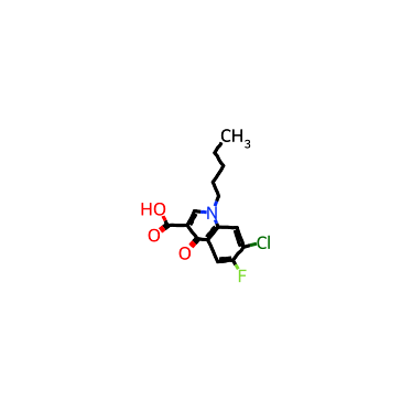 CCCCCn1cc(C(=O)O)c(=O)c2cc(F)c(Cl)cc21